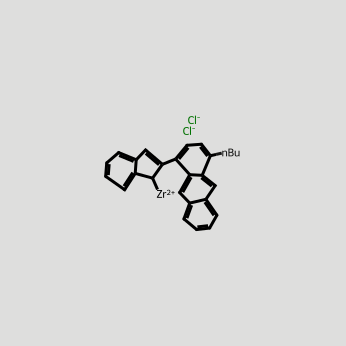 CCCCc1ccc(C2=Cc3ccccc3[CH]2[Zr+2])c2cc3ccccc3cc12.[Cl-].[Cl-]